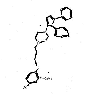 COc1cc(C(C)=O)ccc1OCCCN1CCN(C2=CC=S(c3ccccc3)N2c2ccccc2)CC1